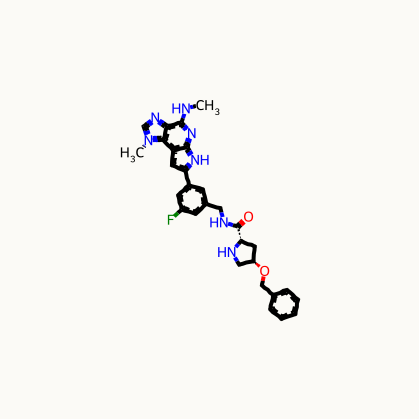 CNc1nc2[nH]c(-c3cc(F)cc(CNC(=O)[C@@H]4C[C@@H](OCc5ccccc5)CN4)c3)cc2c2c1ncn2C